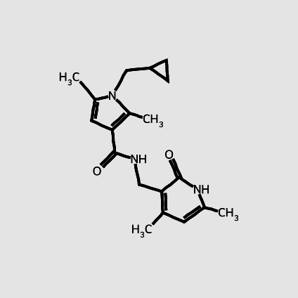 Cc1cc(C)c(CNC(=O)c2cc(C)n(CC3CC3)c2C)c(=O)[nH]1